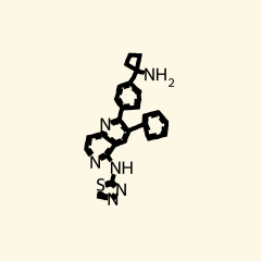 NC1(c2ccc(-c3nc4ccnc(Nc5nncs5)c4cc3-c3ccccc3)cc2)CCC1